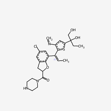 C=Nc1cc(C(O)(CC)CO)sc1/C(=C\C)c1cc(Cl)cc2c1OC(C(=O)N1CCNCC1)C2